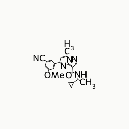 COc1cc(C#N)cc(-c2cc(C)n3ncc(C(=O)NC(C)C4CC4)c3n2)c1